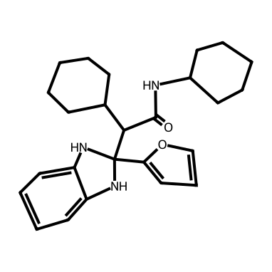 O=C(NC1CCCCC1)C(C1CCCCC1)C1(c2ccco2)Nc2ccccc2N1